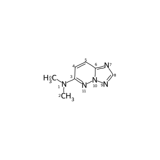 CN(C)c1ccc2ncnn2n1